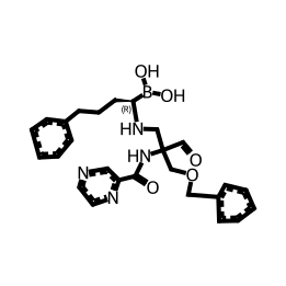 O=CC(CN[C@@H](CCCc1ccccc1)B(O)O)(COCc1ccccc1)NC(=O)c1cnccn1